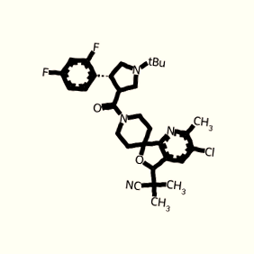 Cc1nc2c(cc1Cl)C(C(C)(C)C#N)OC21CCN(C(=O)C2CN(C(C)(C)C)C[C@H]2c2ccc(F)cc2F)CC1